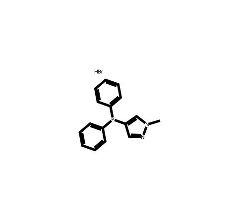 Br.Cn1cc(P(c2ccccc2)c2ccccc2)cn1